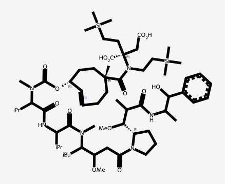 CCC(C)C(C(CC(=O)N1CCC[C@H]1C(OC)C(C)C(=O)NC(C)C(O)c1ccccc1)OC)N(C)C(=O)C(NC(=O)C(C(C)C)N(C)C(=O)O[C@H]1/C=C/CC[C@@](C)(C(=O)N(CC[Si](C)(C)C)[C@@](CC[Si](C)(C)C)(CC(=O)O)C(=O)O)CC1)C(C)C